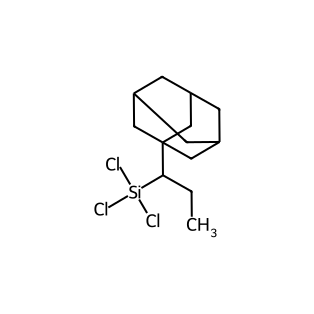 CCC(C12CC3CC(CC(C3)C1)C2)[Si](Cl)(Cl)Cl